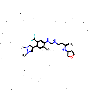 C=C(CCNCNc1cc(C(F)F)c(C2=CN(C)N(C)C2)cc1CCCC)NC1CCOC1